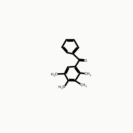 Cc1cc(C(=O)c2ccccc2)c(C)c(C)c1[SiH3]